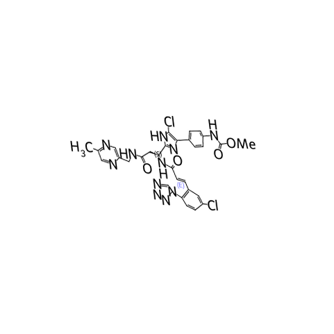 COC(=O)Nc1ccc(-c2nc([C@H](CC(=O)NCc3cnc(C)cn3)NC(=O)/C=C/c3cc(Cl)ccc3-n3cnnn3)[nH]c2Cl)cc1